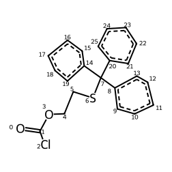 O=C(Cl)OCCSC(c1ccccc1)(c1ccccc1)c1ccccc1